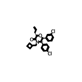 C=CC[C@@H]1O[C@@H](c2cccc(Cl)c2)[C@@H](c2ccc(Cl)cc2)N(CC2CCC2)C1=O